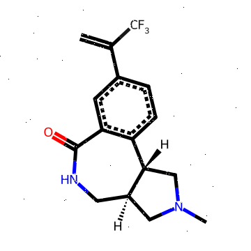 C=C(c1ccc2c(c1)C(=O)NC[C@@H]1CN(C)C[C@@H]21)C(F)(F)F